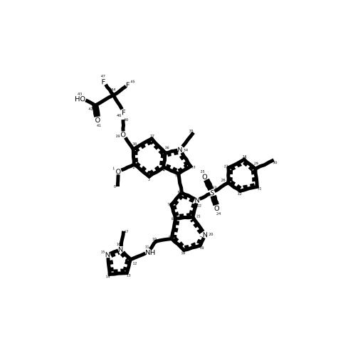 COc1cc2c(-c3cc4c(CNc5ccnn5C)ccnc4n3S(=O)(=O)c3ccc(C)cc3)cn(C)c2cc1OC.O=C(O)C(F)(F)F